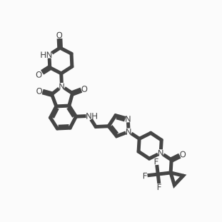 O=C1CCC(N2C(=O)c3cccc(NCc4cnn(C5CCN(C(=O)C6(C(F)(F)F)CC6)CC5)c4)c3C2=O)C(=O)N1